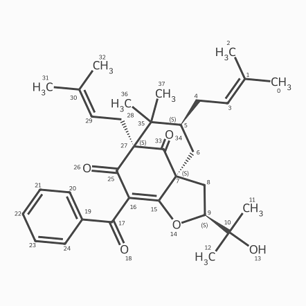 CC(C)=CC[C@H]1C[C@]23C[C@@H](C(C)(C)O)OC2=C(C(=O)c2ccccc2)C(=O)[C@](CC=C(C)C)(C3=O)C1(C)C